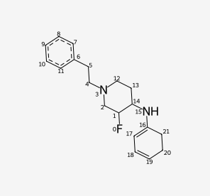 FC1CN(CCc2ccccc2)CCC1NC1=CC=CCC1